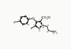 CCOC(=O)c1c(Sc2ccc(F)cc2)c(C)nn1CCN